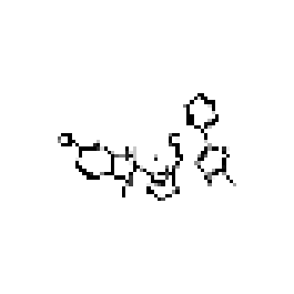 Cc1nc(C(=O)N2CCC[C@@]2(C)c2nc3c(C)c(Cl)ccc3n2C)c(-c2ccccc2)s1